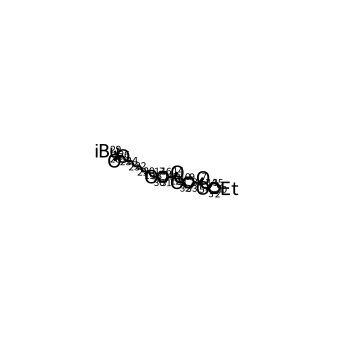 CCc1ccc(OC(=O)c2ccc(OC(=O)c3ccc(OCCCCCCOC(=O)C(C)CC)cc3)cc2)cc1